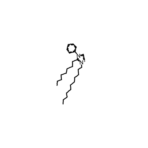 CCCCCCCCCCC[n+]1ccn(-c2ccccc2)c1CCCCCCCC